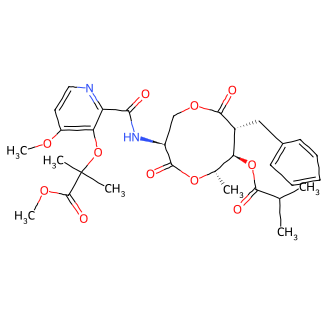 COC(=O)C(C)(C)Oc1c(OC)ccnc1C(=O)N[C@H]1COC(=O)[C@H](Cc2ccccc2)[C@@H](OC(=O)C(C)C)[C@H](C)OC1=O